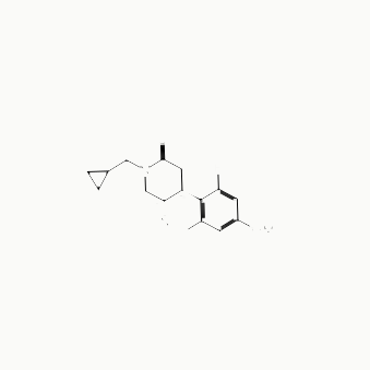 COc1cc(F)c([C@@H]2CC(=O)N(CC3CC3)C[C@H]2N)c(F)c1